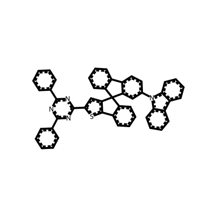 c1ccc(-c2nc(-c3ccccc3)nc(-c3cc4c(s3)-c3ccccc3C43c4ccccc4-c4ccc(-n5c6ccccc6c6ccccc65)cc43)n2)cc1